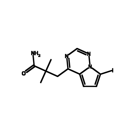 CC(C)(Cc1ncnn2c(I)ccc12)C(N)=O